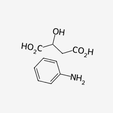 Nc1ccccc1.O=C(O)CC(O)C(=O)O